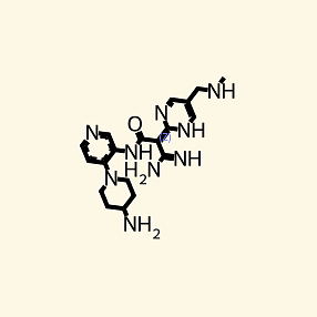 CNCC1=CN/C(=C(\C(=N)N)C(=O)Nc2cnccc2N2CCC(N)CC2)N=C1